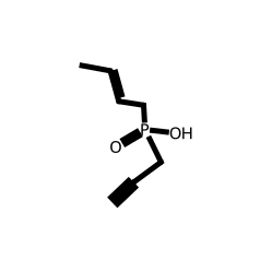 C#CCP(=O)(O)CC=CC